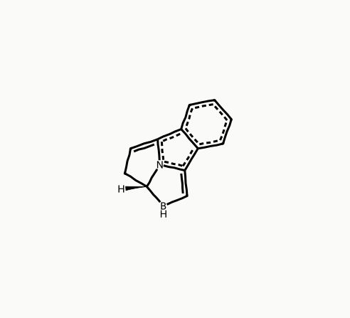 B1C=c2c3ccccc3c3n2[C@H]1CC=3